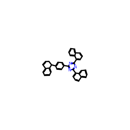 C1=Cc2ccccc2C(c2ccc(-c3nc(-c4cccc5ccccc45)nc(-c4cccc5ccccc45)n3)cc2)C1